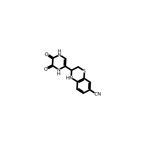 N#Cc1ccc2c(c1)SCC(c1c[nH]c(=O)c(=O)[nH]1)N2